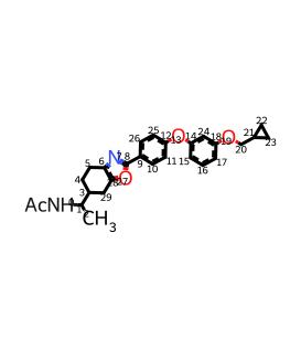 CC(=O)NC(C)C1CCc2nc(-c3ccc(Oc4cccc(OCC5CC5)c4)cc3)oc2C1